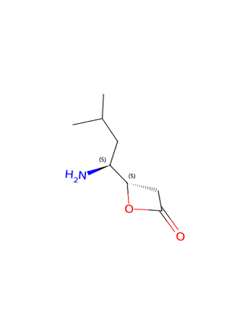 CC(C)C[C@H](N)[C@@H]1CC(=O)O1